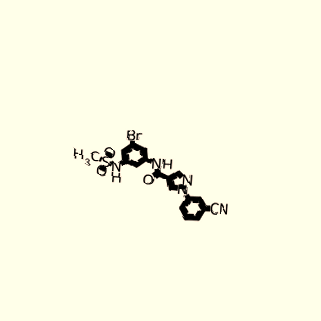 CS(=O)(=O)Nc1cc(Br)cc(NC(=O)c2cnn(-c3cccc(C#N)c3)c2)c1